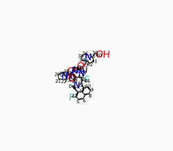 C#Cc1c(F)ccc2cccc(-c3ncc4c(N5CC6CCC(C5)N6C(=O)OC(C)(C)C)nc(OCC56CCCN5[C@@H](CO)CC6)nc4c3F)c12